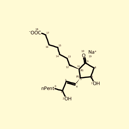 CCCCCC(O)C=C[C@H]1C(O)CC(=O)[C@@H]1CCCCCCC(=O)[O-].[Na+]